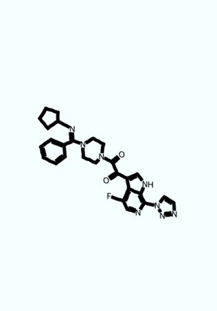 O=C(C(=O)N1CCN(/C(=N/C2CCCC2)c2ccccc2)CC1)c1c[nH]c2c(-n3ccnn3)ncc(F)c12